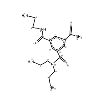 NCCNC(=O)c1cc(C(N)=O)cc(C(=O)N(CCN)CCN)c1